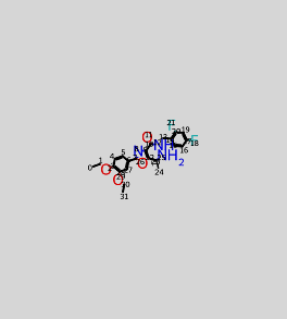 CCOc1ccc(-c2nc(C(=O)NCc3ccc(F)cc3F)c([C@H](C)N)o2)cc1OCC